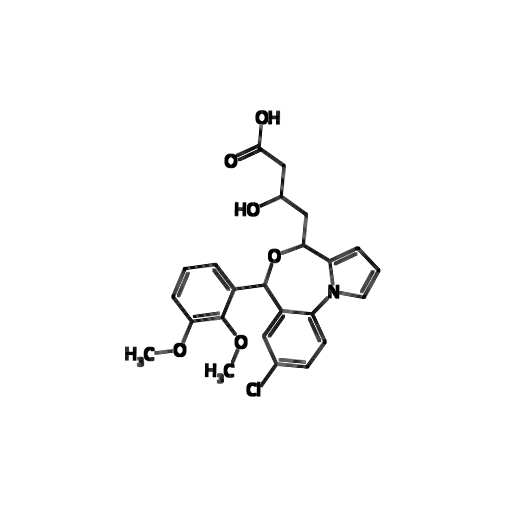 COc1cccc(C2OC(CC(O)CC(=O)O)c3cccn3-c3ccc(Cl)cc32)c1OC